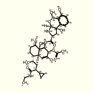 CCNC(=O)N(CC(C)[C@@H]1CC[C@@H](C)[C@@]2(O)[C@@H]1C=C(C)[C@H](OC(C)=O)[C@@H]2OC(=O)[C@@H]1C[C@@]2(O)c3cccc(Cl)c3N(C)O[C@H]2N1)C1CC1